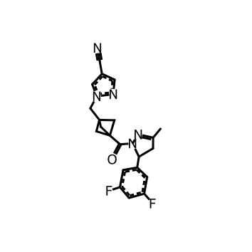 CC1=NN(C(=O)C23CC(Cn4cc(C#N)cn4)(C2)C3)C(c2cc(F)cc(F)c2)C1